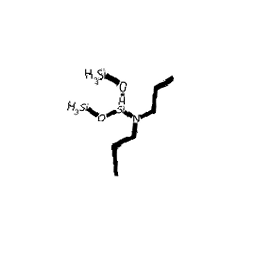 CCCN(CCC)[SiH](O[SiH3])O[SiH3]